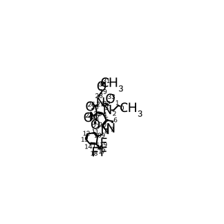 CCCn1c(-c2cnn(Cc3ccccc3C(F)(F)F)c2)c([N+](=O)[O-])c(=O)n(CCOC)c1=O